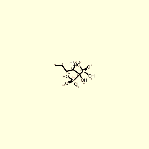 CCCC(N)C(O)(P(=O)(O)O)P(=O)(O)O